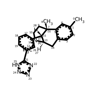 Cc1ccc2c(c1)[C@@]1(C)CCN(C)[C@H](C2)[C@@H]1c1cccc(-c2nnn[nH]2)c1